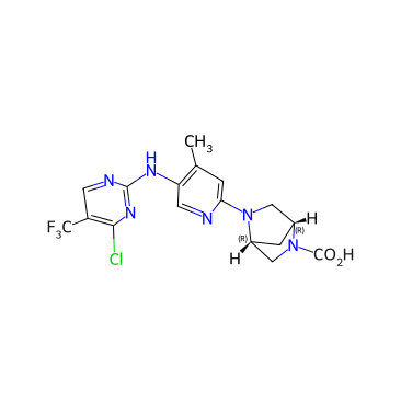 Cc1cc(N2C[C@H]3C[C@@H]2CN3C(=O)O)ncc1Nc1ncc(C(F)(F)F)c(Cl)n1